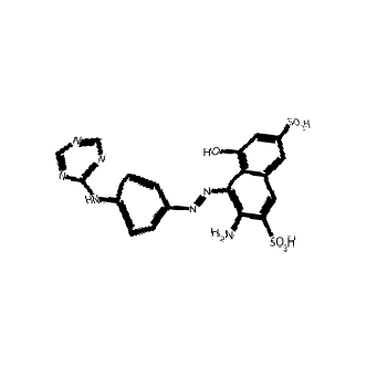 Nc1c(S(=O)(=O)O)cc2cc(S(=O)(=O)O)cc(O)c2c1/N=N/c1ccc(Nc2n[c]ncn2)cc1